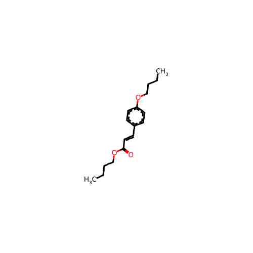 CCCCOC(=O)C=Cc1ccc(OCCCC)cc1